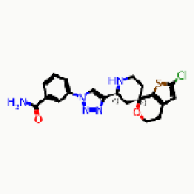 NC(=O)c1cccc(-n2cc([C@@H]3C[C@]4(CCN3)OCCc3cc(Cl)sc34)nn2)c1